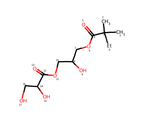 CCC(C)(C)C(=O)OCC(O)COC(=O)C(O)CO